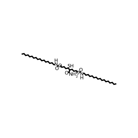 CCCCCCCCCCCCCCCCCNC(=O)OCCCC(S)C(CCCOC(=O)NCCCCCCCCCCCCCCCCC)C(N)=O